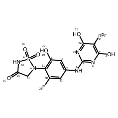 CCCc1c(O)nc(Nc2cc(O)c(N3CC(=O)NS3(=O)=O)c(F)c2)nc1O